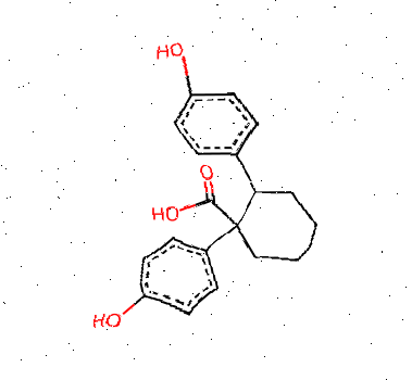 O=C(O)C1(c2ccc(O)cc2)CCCCC1c1ccc(O)cc1